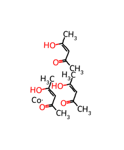 CC(=O)C=C(C)O.CC(=O)C=C(C)O.CC(=O)C=C(C)O.[Co]